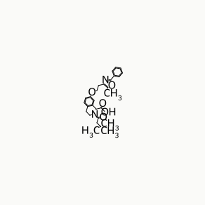 Cc1oc(-c2ccccc2)nc1CCOc1ccc2c(c1)C(C(=O)O)N(C(=O)CC(C)(C)C)CC2